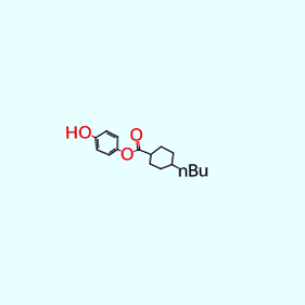 CCCCC1CCC(C(=O)Oc2ccc(O)cc2)CC1